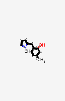 Cc1ccc(Cc2cccn2C)c(O)c1